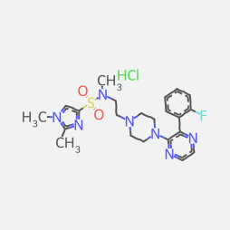 Cc1nc(S(=O)(=O)N(C)CCN2CCN(c3nccnc3-c3ccccc3F)CC2)cn1C.Cl